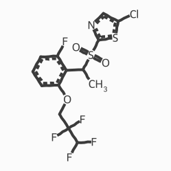 CC(c1c(F)cccc1OCC(F)(F)C(F)F)S(=O)(=O)c1ncc(Cl)s1